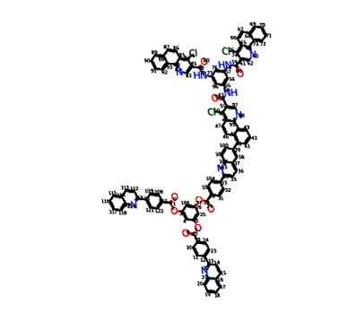 O=C(Oc1cc(OC(=O)c2ccc(-c3ccc4ccccc4n3)cc2)cc(OC(=O)c2ccc(-c3ccc4cc(-c5cccc6c5ccc5c(Cl)c(C(=O)Nc7cc(NC(=O)c8cnc9c(ccc%10ccccc%109)c8Cl)cc(NC(=O)c8cnc9c(ccc%10ccccc%109)c8Cl)c7)cnc56)ccc4n3)cc2)c1)c1ccc(-c2ccc3ccccc3n2)cc1